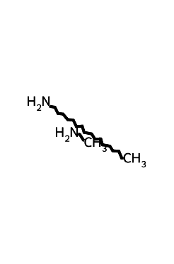 CCCCCCCCCCCCCCCCCCN.CCCN